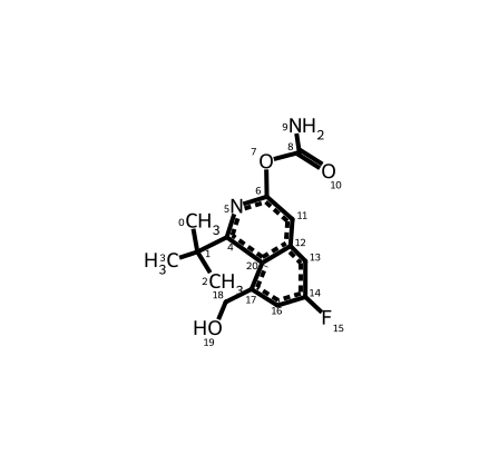 CC(C)(C)c1nc(OC(N)=O)cc2cc(F)cc(CO)c12